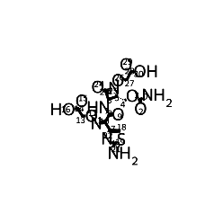 NC(=O)OC[C@@H]1[C@H](NC(=O)C(=NOCC(=O)O)c2csc(N)n2)C(=O)N1OCC(=O)O